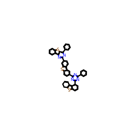 C1=Cc2c(sc3cccc(-c4nc(-c5ccccc5)nc(-c5ccc6sc7cc(-c8nc(-c9ccccc9)c9sc%10ccccc%10c9n8)ccc7c6c5)n4)c23)CC1